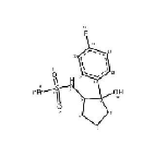 CCCS(=O)(=O)NC1CCCC1(O)c1ccc(F)cc1